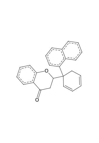 O=C1CC(C2(c3cccc4ccccc34)C=CC=CC2)Oc2ccccc21